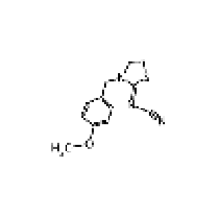 COc1ccc(CN2CCSC2=NC#N)cc1